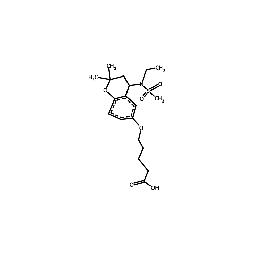 CCN(C1CC(C)(C)Oc2ccc(OCCCCC(=O)O)cc21)S(C)(=O)=O